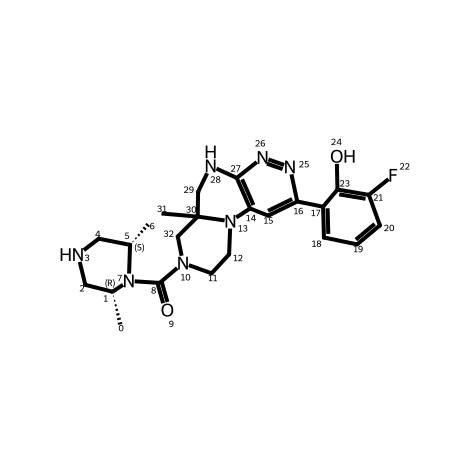 C[C@@H]1CNC[C@H](C)N1C(=O)N1CCN2c3cc(-c4cccc(F)c4O)nnc3NCC2(C)C1